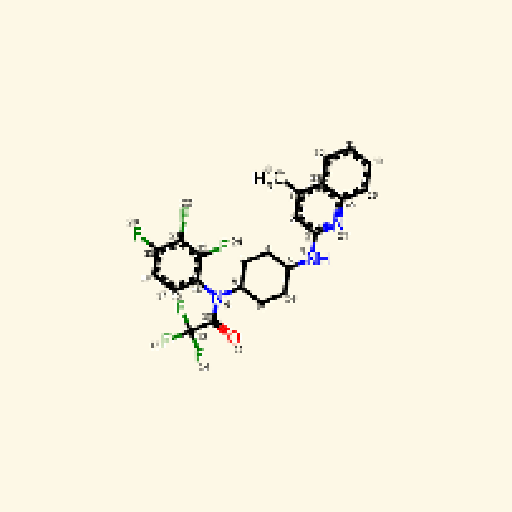 Cc1cc(NC2CCC(N(C(=O)C(F)(F)F)c3ccc(F)c(F)c3F)CC2)nc2ccccc12